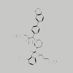 COCCCn1c([C@@H]2CCCN(C(c3ccc(-c4ccc5c(c4)CCO5)cc3)C(N)CC=O)C2)nc2c(C)cccc21